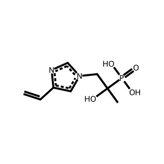 C=Cc1cn(CC(C)(O)P(=O)(O)O)cn1